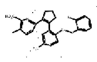 Cc1ccc(C2=C(c3cc(C(F)(F)F)ccc3OCc3ccccc3F)CCC2)nc1C(=O)O